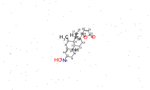 CC1CC2=CC(=NO)CC[C@@H]2C2CC[C@@]3(C)C(CC[C@@]34C=CC(=O)O4)C12